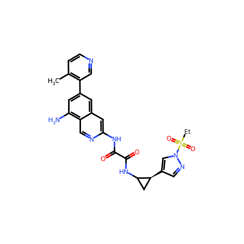 CCS(=O)(=O)n1cc([C@H]2CC2NC(=O)C(=O)Nc2cc3cc(-c4cnccc4C)cc(N)c3cn2)cn1